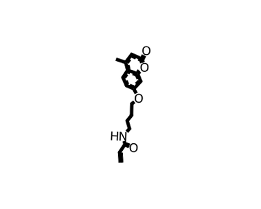 C=CC(=O)NCCCCOc1ccc2c(C)cc(=O)oc2c1